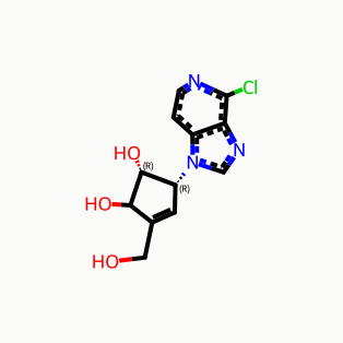 OCC1=C[C@@H](n2cnc3c(Cl)nccc32)[C@@H](O)C1O